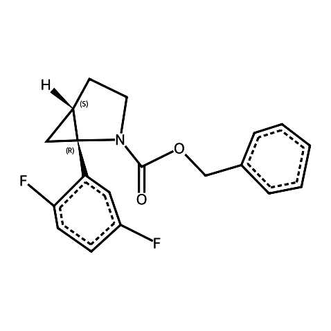 O=C(OCc1ccccc1)N1CC[C@H]2C[C@]21c1cc(F)ccc1F